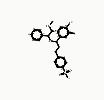 CNC(=O)C(NC(CCc1ccc(S(C)(=O)=O)cc1)c1ccc(F)c(C)c1)c1ccccc1